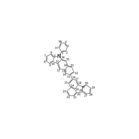 c1ccc(-n2c3ccccc3c3cc4cc(-c5cc6c7c(cccc7c5)-c5ccccc5-6)ccc4cc32)cc1